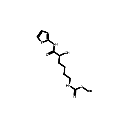 CC(C)(C)OC(=O)NCCCCC(O)C(=O)Nc1nccs1